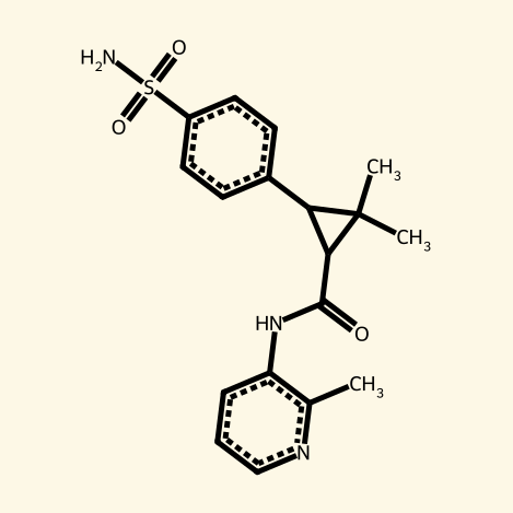 Cc1ncccc1NC(=O)C1C(c2ccc(S(N)(=O)=O)cc2)C1(C)C